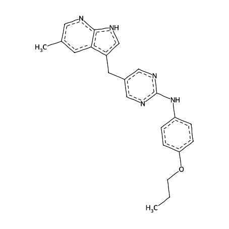 CCCOc1ccc(Nc2ncc(Cc3c[nH]c4ncc(C)cc34)cn2)cc1